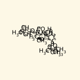 CC1(C)OB(c2ccc(F)c([C@]3(C)CO[C@@](C)(C(F)(F)F)C(N(COCC[Si](C)(C)C)C(=O)O)=N3)c2)OC1(C)C